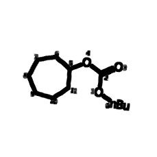 CCCCOC(=O)OC1CCCCCC1